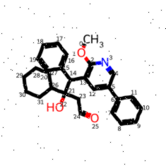 COc1ncc(-c2ccccc2)cc1C(c1ccccc1)C(O)(CC=O)C1CCCCC1